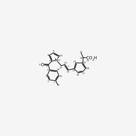 Cc1ccc(C(=O)c2cccn2C/C=C/c2cccc(C(C)C(=O)O)c2)cc1